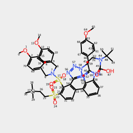 COc1ccc(CN(Cc2ccc(OC)cc2)S(=O)(=O)c2c(S(=O)(=O)CC[Si](C)(C)C)ccc(-c3cccc4[nH]c(C[C@H](C)N(C(=O)O)C(C)(C)C)nc34)c2-c2nnn(Cc3ccc(OC)cc3)n2)cc1